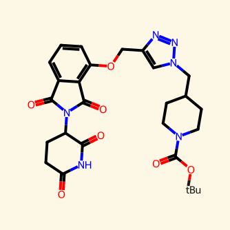 CC(C)(C)OC(=O)N1CCC(Cn2cc(COc3cccc4c3C(=O)N(C3CCC(=O)NC3=O)C4=O)nn2)CC1